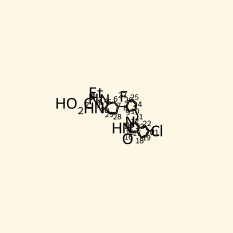 CCN(C(=O)O)c1nc2cc(-c3cc(Cc4n[nH]c(=O)c5ccc(Cl)cc45)ccc3F)ccc2[nH]1